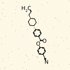 C=CC[C@H]1CC[C@H](c2ccc(C(=O)Oc3ccc(C#N)cc3)cc2)CC1